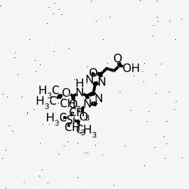 CC(OCn1cnc(-c2noc(CCC(=O)O)n2)c1NC(=O)OC(C)(C)C)[Si](C)(C)C